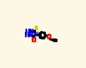 C#CCOc1ccc(-n2c(=O)[nH][nH]c2=S)cc1